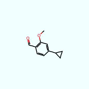 COc1cc(C2CC2)ccc1C=O